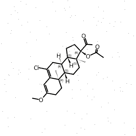 COC1=CC2=C(Cl)C[C@@H]3[C@H](CC[C@@]4(C)[C@H]3CC[C@]4(OC(C)=O)C(C)=O)[C@@]2(C)CC1